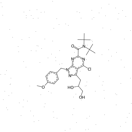 COc1ccc(Cn2nc(CC(O)CO)c3c(Cl)nc(C(=O)N(C(C)(C)C)C(C)(C)C)nc32)cc1